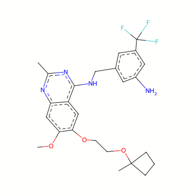 COc1cc2nc(C)nc(NCc3cc(N)cc(C(F)(F)F)c3)c2cc1OCCOC1(C)CCC1